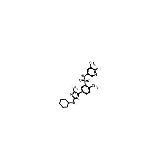 Cc1ccc(-c2sc(NC3CCCCC3)nc2C)cc1S(=O)(=O)Nc1cnc(Cl)c(C)c1